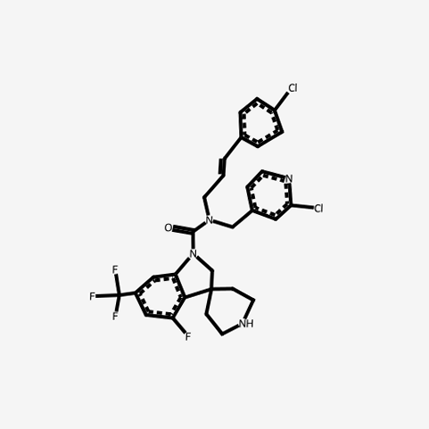 O=C(N(CC=Cc1ccc(Cl)cc1)Cc1ccnc(Cl)c1)N1CC2(CCNCC2)c2c(F)cc(C(F)(F)F)cc21